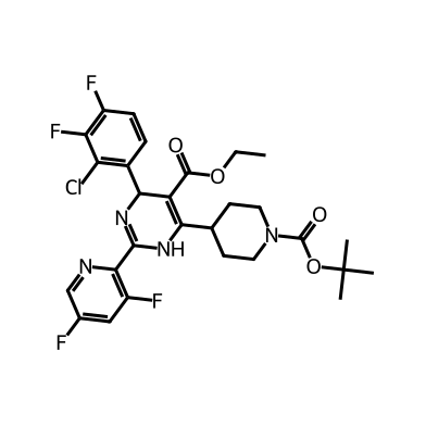 CCOC(=O)C1=C(C2CCN(C(=O)OC(C)(C)C)CC2)NC(c2ncc(F)cc2F)=NC1c1ccc(F)c(F)c1Cl